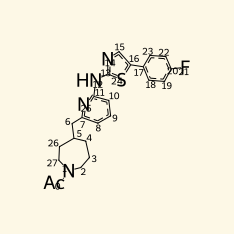 CC(=O)N1CCCC(Cc2cccc(Nc3ncc(-c4ccc(F)cc4)s3)n2)CC1